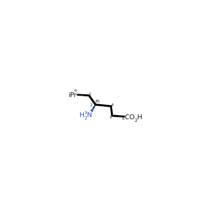 CC(C)C[C@H](N)CCC(=O)O